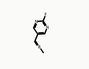 C/B=C\c1cnc(F)nc1